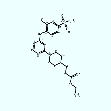 CCOC(=O)CCC1CCN(c2cc(Nc3ccc(S(C)(=O)=O)cc3F)ncn2)CC1